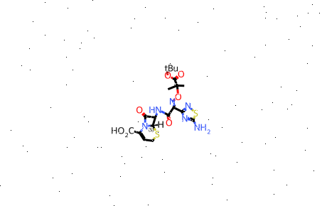 CC(C)(C)OC(=O)C(C)(C)ON=C(C(=O)NC1C(=O)N2C(C(=O)O)=CCS[C@@H]12)c1nsc(N)n1